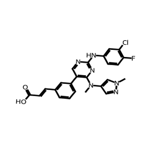 CN(c1cnn(C)c1)c1nc(Nc2ccc(F)c(Cl)c2)ncc1-c1cccc(C=CC(=O)O)c1